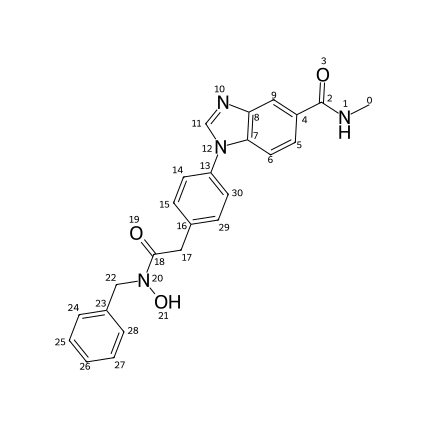 CNC(=O)c1ccc2c(c1)ncn2-c1ccc(CC(=O)N(O)Cc2ccccc2)cc1